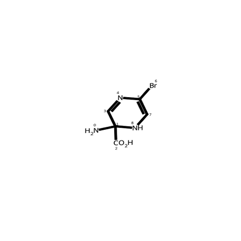 NC1(C(=O)O)C=NC(Br)=CN1